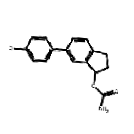 NC(=O)OC1CCc2ccc(-c3ccc(Cl)cc3)cc21